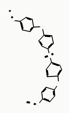 O=C=Nc1ccc(Oc2ccc(S(=O)(=O)c3ccc(Oc4ccc(N=C=O)cc4)cc3)cc2)cc1